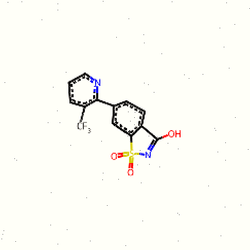 O=S1(=O)N=C(O)c2ccc(-c3ncccc3C(F)(F)F)cc21